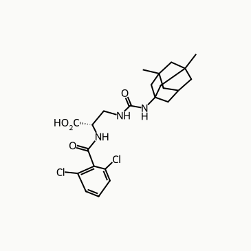 CC12CC3CC(C)(C1)CC(NC(=O)NC[C@H](NC(=O)c1c(Cl)cccc1Cl)C(=O)O)(C3)C2